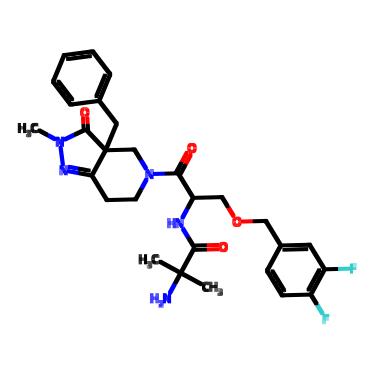 CN1N=C2CCN(C(=O)C(COCc3ccc(F)c(F)c3)NC(=O)C(C)(C)N)CC2(Cc2ccccc2)C1=O